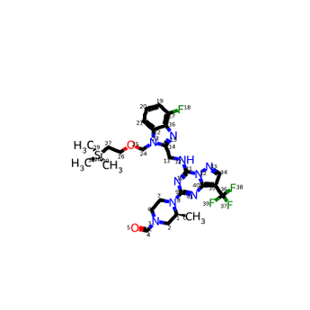 C[C@H]1CN([C]=O)CCN1c1nc(NCc2nc3c(F)cccc3n2COCC[Si](C)(C)C)n2ncc(C(F)(F)F)c2n1